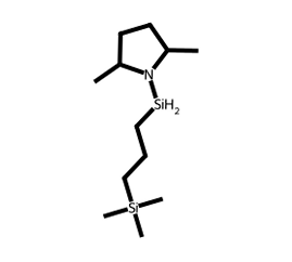 CC1CCC(C)N1[SiH2]CCC[Si](C)(C)C